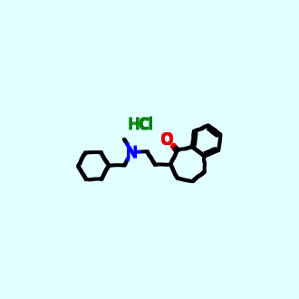 CN(CCC1CCCc2ccccc2C1=O)CC1CCCCC1.Cl